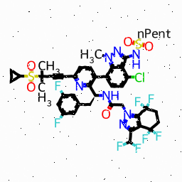 CCCCCS(=O)(=O)Nc1nn(C)c2c(-c3ccc(C#CC(C)(C)S(=O)(=O)C4CC4)nc3[C@H](Cc3cc(F)cc(F)c3)NC(=O)Cn3nc(C(F)F)c4c3C(F)(F)CCC4(F)F)ccc(Cl)c12